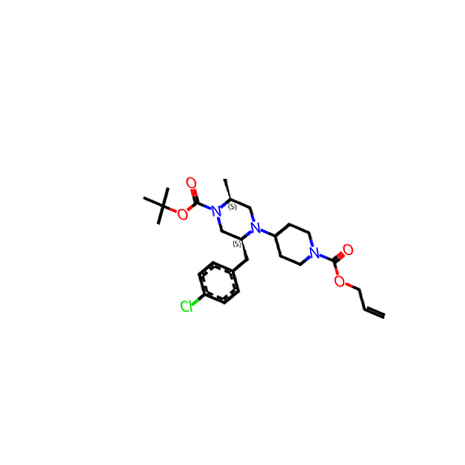 C=CCOC(=O)N1CCC(N2C[C@H](C)N(C(=O)OC(C)(C)C)C[C@@H]2Cc2ccc(Cl)cc2)CC1